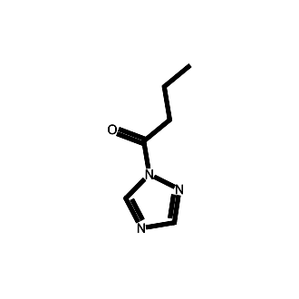 CCCC(=O)n1cncn1